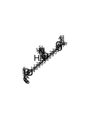 C=C=C=CC(CCCC)CC(=O)OCCCCCCCCCCC(CCCCCCCCCCOC(=O)CC(C)CCCC)NC(=O)CCN(CC)CC